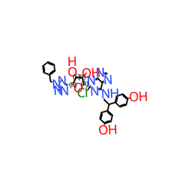 Oc1ccc(C(CNC2=NC(Cl)([C@@H]3O[C@H](c4nnn(Cc5ccccc5)n4)[C@@H](O)[C@H]3O)N=C3N=CN=C32)c2ccc(O)cc2)cc1